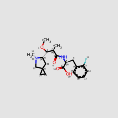 COC([C@@H](C)C(=O)N[C@@H](Cc1ccccc1F)C(=O)O)[C@@H]1CC2(CC2)CN1C